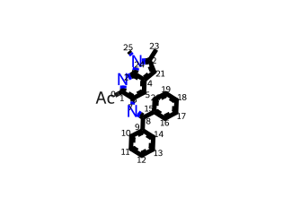 CC(=O)c1nc2c(cc1N=C(c1ccccc1)c1ccccc1)cc(C)n2C